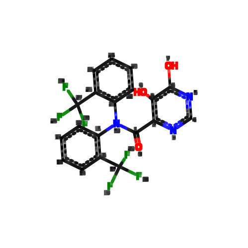 O=C(c1ncnc(O)c1O)N(c1ccccc1C(F)(F)F)c1ccccc1C(F)(F)F